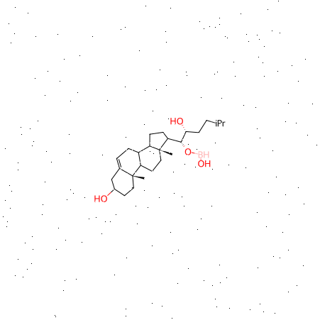 CC(C)CC[C@@H](O)[C@H](OBO)C1CCC2C3CC=C4CC(O)CC[C@@]4(C)C3CC[C@]21C